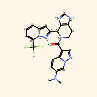 CN(C)c1ccc2c(C(=O)N3CCc4[nH]cnc4[C@@H]3c3cc4cccc(C(F)(F)F)n4n3)cnn2c1